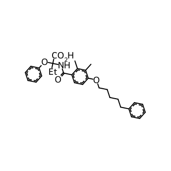 CCC(NC(=O)c1ccc(OCCCCCc2ccccc2)c(C)c1C)(Oc1ccccc1)C(=O)O